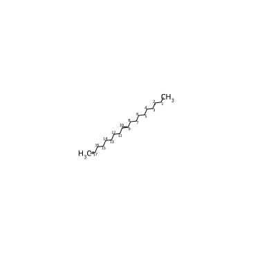 CC[CH]CCCCCCC=CCCCCCCCC